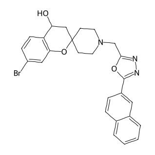 OC1CC2(CCN(Cc3nnc(-c4ccc5ccccc5c4)o3)CC2)Oc2cc(Br)ccc21